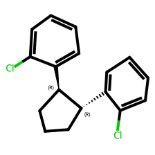 Clc1ccccc1[C@@H]1CCC[C@H]1c1ccccc1Cl